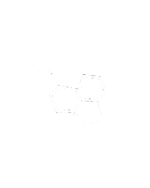 O=[N+]([O-])c1ccc2c3c(cccc13)SO2